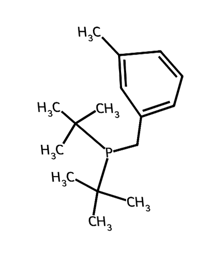 Cc1cccc(CP(C(C)(C)C)C(C)(C)C)c1